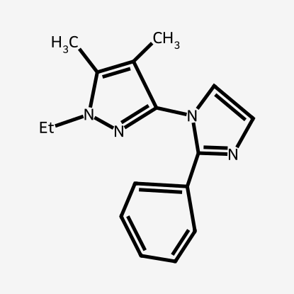 CCn1nc(-n2ccnc2-c2ccccc2)c(C)c1C